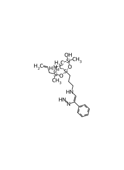 C=CC[Si](C)(C)O[Si](C)(CCCN/C=C(\N=N)c1ccccc1)O[Si](C)(C)O